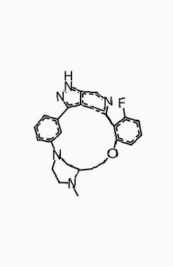 CN1CCN2CC1CCOc1cccc(F)c1-c1cc3c(n[nH]c3cn1)-c1cccc2c1